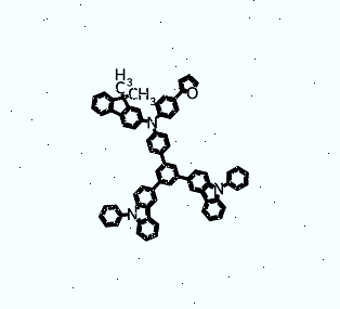 CC1(C)c2ccccc2-c2ccc(N(c3ccc(-c4cc(-c5ccc6c(c5)c5ccccc5n6-c5ccccc5)cc(-c5ccc6c(c5)c5ccccc5n6-c5ccccc5)c4)cc3)c3ccc(-c4ccco4)cc3)cc21